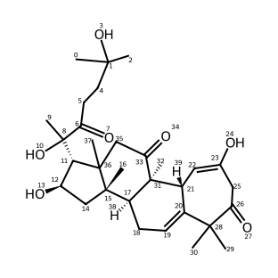 CC(C)(O)CCC(=O)C(C)(O)[C@H]1[C@H](O)C[C@@]2(C)[C@@H]3CC=C4[C@@H](C=C(O)CC(=O)C4(C)C)[C@]3(C)C(=O)CC12C